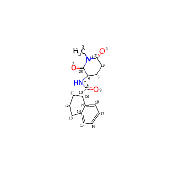 CN1C(=O)CCC(NC(=O)[C@H]2CCCc3ccccc32)C1=O